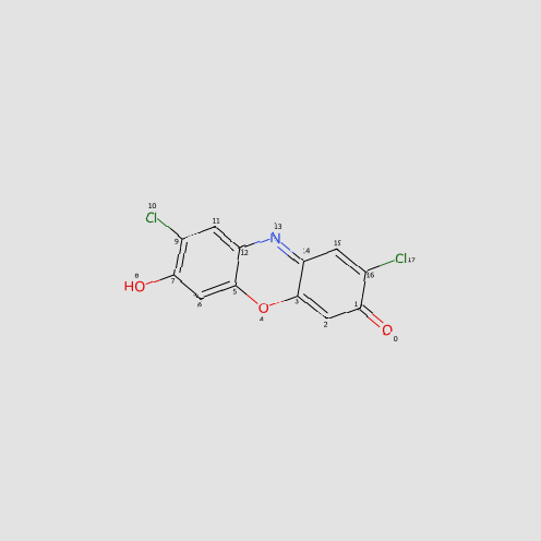 O=c1cc2oc3cc(O)c(Cl)cc3nc-2cc1Cl